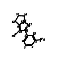 Fc1cccc(-c2nn3c(c2I)CCC3)c1